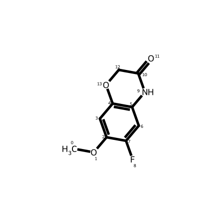 COc1cc2c(cc1F)NC(=O)CO2